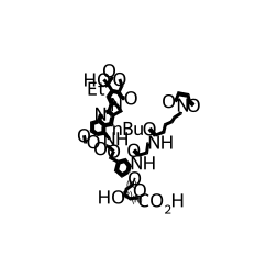 CCCCc1c2c(nc3cc4c(c(NC(=O)OCc5ccc(O[C@@H]6C[C@H](O)C[C@H](C(=O)O)O6)c(NC(=O)CCNC(=O)CCCCCN6C(=O)C=CC6=O)c5)c13)OCO4)-c1cc3c(c(=O)n1C2)COC(=O)C3(O)CC